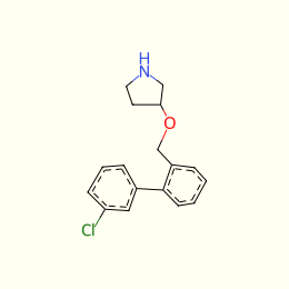 Clc1cccc(-c2ccccc2COC2CCNC2)c1